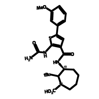 COc1cccc(-c2cc(C(=O)N[C@H]3CCCCN(C(=O)O)C3C(C)(C)C)c(NC(N)=O)s2)c1